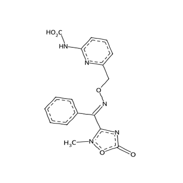 Cn1oc(=O)nc1C(=NOCc1cccc(NC(=O)O)n1)c1ccccc1